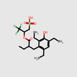 BCc1cc(CB)c(CC(CC)C(=O)OC(CS(=O)(=O)O)C(F)(F)F)c(CB)c1O